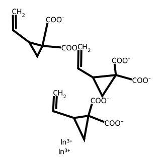 C=CC1CC1(C(=O)[O-])C(=O)[O-].C=CC1CC1(C(=O)[O-])C(=O)[O-].C=CC1CC1(C(=O)[O-])C(=O)[O-].[In+3].[In+3]